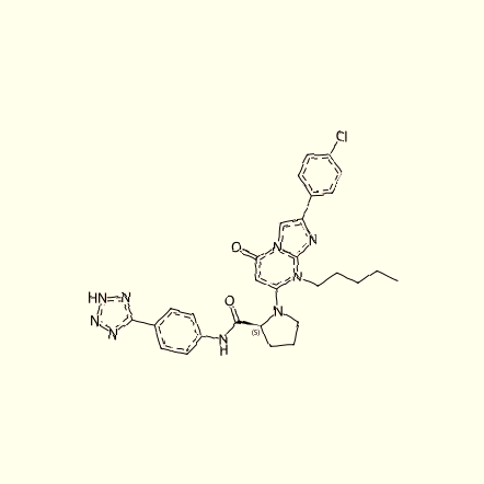 CCCCCn1c(N2CCC[C@H]2C(=O)Nc2ccc(-c3nn[nH]n3)cc2)cc(=O)n2cc(-c3ccc(Cl)cc3)nc12